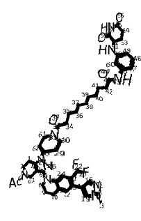 CC(=O)N1CCc2c(c(N3CCCc4cc(-c5cnn(C)c5)c(C(F)F)cc43)nn2C2CCN(C(=O)CCCCCCCCCC(=O)Nc3cccc(NC4CCC(=O)NC4=O)c3)CC2)C1